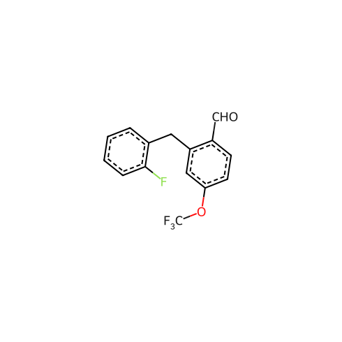 O=Cc1ccc(OC(F)(F)F)cc1Cc1ccccc1F